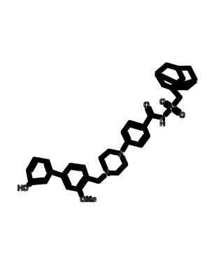 COc1cc(-c2cccc(O)c2)ccc1CN1CCN(c2ccc(C(=O)NS(=O)(=O)CC34CC5CC(CC(C5)C3)C4)cc2)CC1